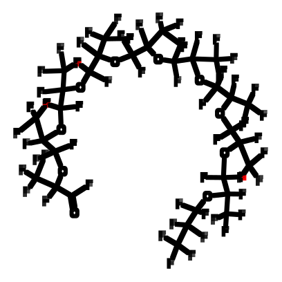 O=C(F)C(F)(OC(F)(F)C(F)(OC(F)(F)C(F)(OC(F)(F)C(F)(OC(F)(F)C(F)(OC(F)(F)C(F)(OC(F)(F)C(F)(OC(F)(F)C(F)(OC(F)(F)C(F)(OC(F)(F)C(F)(F)C(F)(F)F)C(F)(F)F)C(F)(F)F)C(F)(F)F)C(F)(F)F)C(F)(F)F)C(F)(F)F)C(F)(F)F)C(F)(F)F)C(F)(F)F